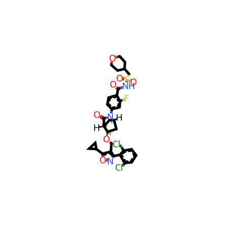 O=C(NS(=O)(=O)CC1CCOCC1)c1ccc(N2C(=O)[C@@H]3C[C@H]2C[C@H]3OCc2c(-c3c(Cl)cccc3Cl)noc2C2CC2)cc1F